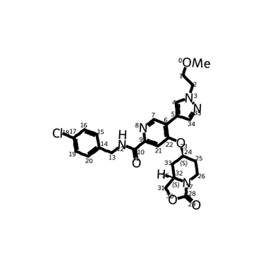 COCCn1cc(-c2cnc(C(=O)NCc3ccc(Cl)cc3)cc2O[C@H]2CCN3C(=O)OC[C@@H]3C2)cn1